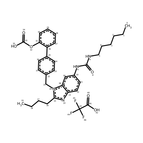 CCCCCCNC(=O)Nc1ccc2nc(CCCC)n(Cc3ccc(-c4ccccc4OC(=O)O)cc3)c2c1.O=C(O)C(F)(F)F